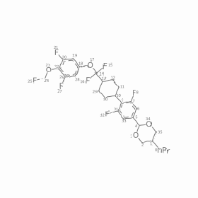 CCCC1COC(c2cc(F)c(C3CCC(C(F)(F)Oc4cc(F)c(OCF)c(F)c4)CC3)c(F)c2)OC1